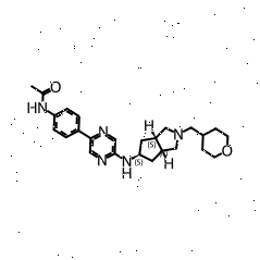 CC(=O)Nc1ccc(-c2cnc(N[C@H]3C[C@@H]4CN(CC5CCOCC5)C[C@@H]4C3)cn2)cc1